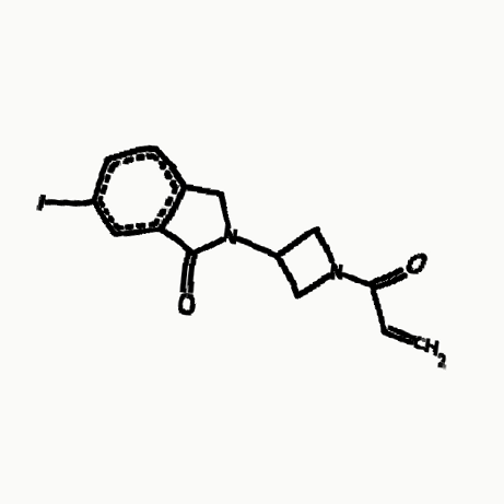 C=CC(=O)N1CC(N2Cc3ccc(I)cc3C2=O)C1